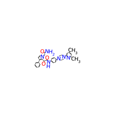 Cc1cc(C)nc(N2CCN(c3ccc(NC(=O)C(=O)c4c(-c5ccccc5)ccn4CC(N)=O)cc3)CC2)c1